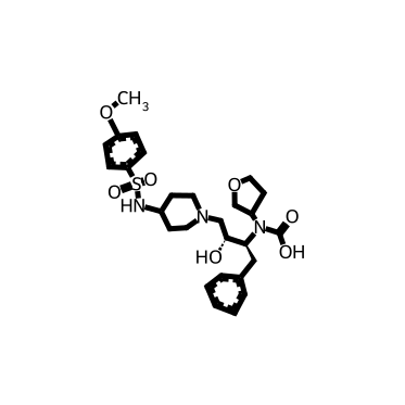 COc1ccc(S(=O)(=O)NC2CCN(C[C@@H](O)[C@H](Cc3ccccc3)N(C(=O)O)C3CCOC3)CC2)cc1